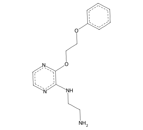 NCCNc1nccnc1OCCOc1ccccc1